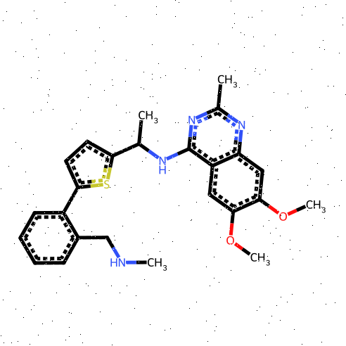 CNCc1ccccc1-c1ccc(C(C)Nc2nc(C)nc3cc(OC)c(OC)cc23)s1